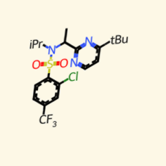 CC(C)N(C(C)c1nccc(C(C)(C)C)n1)S(=O)(=O)c1ccc(C(F)(F)F)cc1Cl